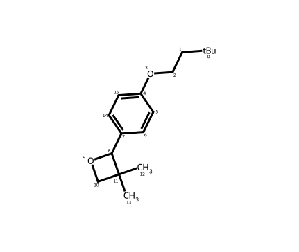 CC(C)(C)CCOc1ccc(C2OCC2(C)C)cc1